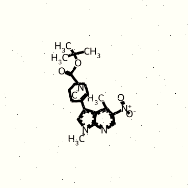 Cc1c([N+](=O)[O-])cnc2c1c(C1=CC3CCC1CN3C(=O)OC(C)(C)C)cn2C